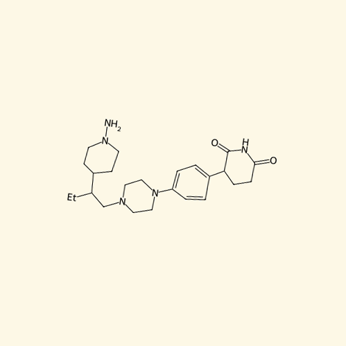 CCC(CN1CCN(c2ccc(C3CCC(=O)NC3=O)cc2)CC1)C1CCN(N)CC1